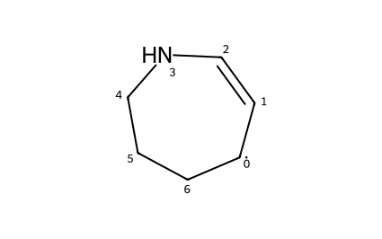 [CH]1C=CNCCC1